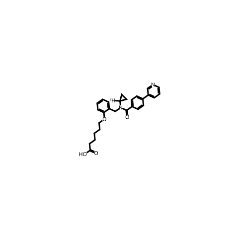 [2H]C1(N(Cc2ccccc2OCCCCCC(=O)O)C(=O)c2ccc(-c3cccnc3)cc2)CC1